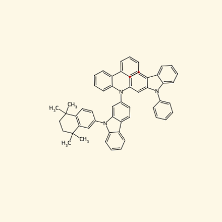 CC1(C)CCC(C)(C)c2cc(-n3c4ccccc4c4ccc(N(c5ccc6c7ccccc7n(-c7ccccc7)c6c5)c5ccccc5-c5ccccc5)cc43)ccc21